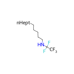 CCCCCCCCCCCCNC(F)(F)C(F)(F)F